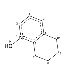 O[n+]1cccc2c1CCCC2